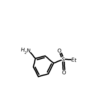 [CH2]CS(=O)(=O)c1cccc(N)c1